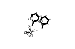 Cc1bcccc1.Cc1bcccc1.[Cl][W]([Cl])([Cl])[Cl]